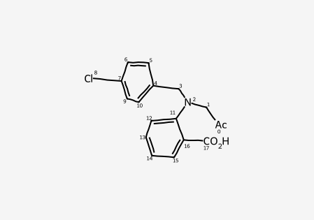 CC(=O)CN(Cc1ccc(Cl)cc1)c1ccccc1C(=O)O